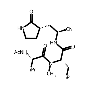 CC(=O)N[C@H](C(=O)N(C)[C@@H](CC(C)C)C(=O)N[C@H](C#N)C[C@@H]1CCNC1=O)C(C)C